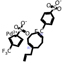 C=CC/C1=C/CC/C=C\CC1.O=S(=O)([O-])c1ccc(C(F)(F)F)cc1.O=S(=O)([O-])c1ccc(C(F)(F)F)cc1.[Pd+2]